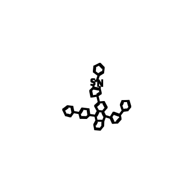 c1ccc(-c2ccc(-c3c4ccccc4c(-c4cccc(-c5ccccc5)c4)c4ccc(-c5ccc6sc(-c7ccccc7)nc6c5)cc34)cc2)cc1